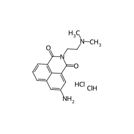 CN(C)CCN1C(=O)c2cccc3cc(N)cc(c23)C1=O.Cl.Cl